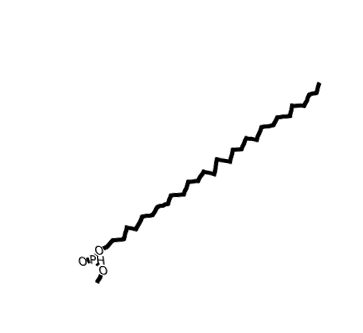 CCCCCCCCCCCCCCCCCCCCCCCCCCCCCCO[PH](=O)OC